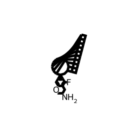 NC1COc2cc3c(c(F)c2C1)C31CC2C3CC4C5C6C7C8C9C%10C%11CC%12C1C1C%13C%14C%15C%16C%17C%18C2C34C5%18C6%17C7%16C8%15C9%14C%10%13C%12%111